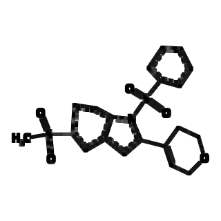 CS(=O)(=O)c1ccc2c(c1)cc(C1=CCOCC1)n2S(=O)(=O)c1ccccc1